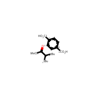 COC(=O)C(C(C)(C)C)C(C)(C)C.O=C(O)c1ccc(C(=O)O)cc1